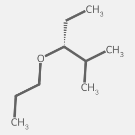 CCCO[C@H](CC)C(C)C